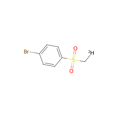 [2H]CS(=O)(=O)c1ccc(Br)cc1